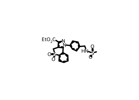 CCOC(=O)c1nn(-c2ccc(CNS(C)(=O)=O)cc2)c2c1CS(=O)(=O)c1ccccc1-2